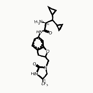 N[C@H](C(=O)Nc1ccc2c(c1)OC(CN1C[C@@H](C(F)(F)F)NC1=O)C2)C(C1CC1)C1CC1